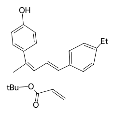 C=CC(=O)OC(C)(C)C.CCc1ccc(C=CC=C(C)c2ccc(O)cc2)cc1